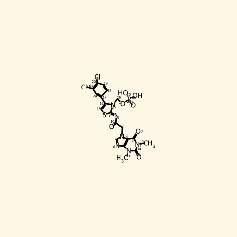 Cn1c(=O)c2c(ncn2CC(=O)N=c2scc(-c3ccc(Cl)c(Cl)c3)n2COP(=O)(O)O)n(C)c1=O